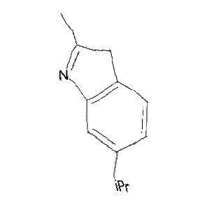 CC1=Nc2cc(C(C)C)ccc2C1